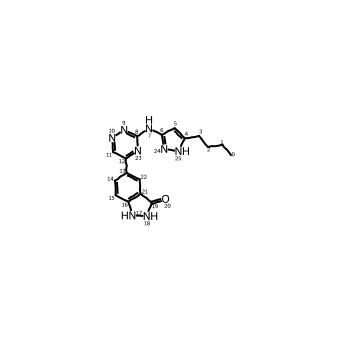 CCCCc1cc(Nc2nncc(-c3ccc4[nH][nH]c(=O)c4c3)n2)n[nH]1